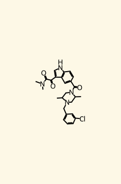 CC1CN(C(=O)c2ccc3[nH]cc(C(=O)C(=O)N(C)C)c3c2)C(C)CN1Cc1cccc(Cl)c1